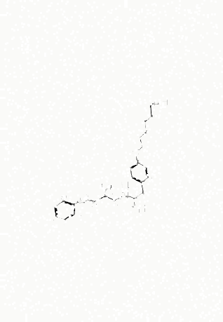 C[C@H](Cc1ccc(OCCCCCCO)cc1)NC[C@H](O)COc1ccccc1